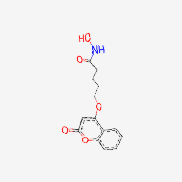 O=C(CCCCOc1cc(=O)oc2ccccc12)NO